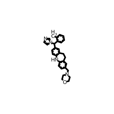 Cc1ccccc1C(c1ccc2c(c1)CCc1cc(CN3CCOCC3)ccc1N2)n1ccnc1